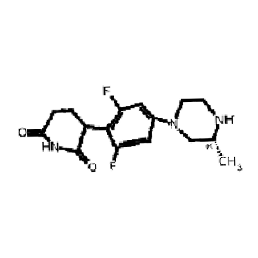 C[C@@H]1CN(c2cc(F)c(C3CCC(=O)NC3=O)c(F)c2)CCN1